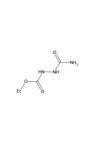 CCOC(=O)NNC(N)=O